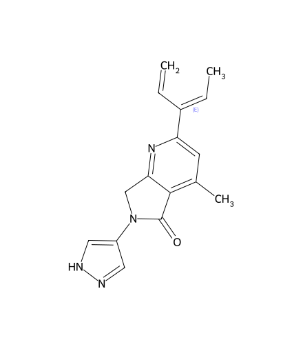 C=C/C(=C\C)c1cc(C)c2c(n1)CN(c1cn[nH]c1)C2=O